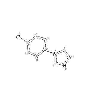 Clc1ccc(-n2cnnc2)nc1